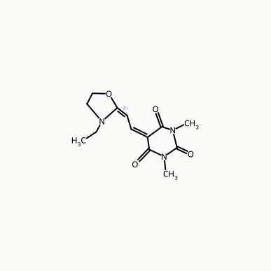 CCN1CCO/C1=C/C=C1C(=O)N(C)C(=O)N(C)C1=O